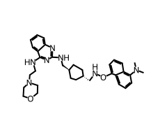 CN(C)c1cccc2c(ONC[C@H]3CC[C@H](CNc4nc(NCCN5CCOCC5)c5ccccc5n4)CC3)cccc12